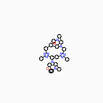 c1ccc(-c2nc(-c3ccccc3)nc(-c3cccc(-n4c5ccc6c7cc(-c8cccc(-c9nc(-c%10ccccc%10)nc(-c%10cccc(-n%11c%12ccc%13oc%14ccccc%14c%13c%12c%12c%11ccc%11c%13ccccc%13n(-c%13ccccc%13)c%11%12)c%10)n9)c8)ccc7oc6c5c5c4ccc4c6ccccc6n(-c6ccccc6)c45)c3)n2)cc1